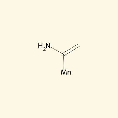 C=[C](N)[Mn]